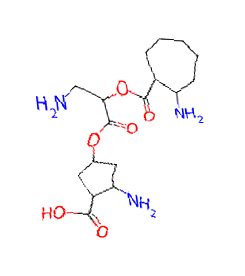 NCC(OC(=O)C1CCCCCC1N)C(=O)OC1CC(N)C(C(=O)O)C1